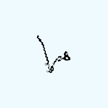 CCC=CCC=CCC=CCCCCCCCC(=O)OCn1c(=O)ccc2ccc(OCCCCN3CCN(c4cccc5sccc45)CC3)cc21